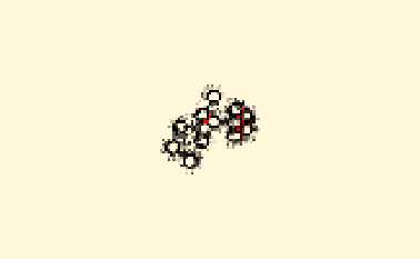 c1ccc(-c2ccc(N(c3ccccc3-c3cccc(N(c4ccccc4-c4ccccc4)c4ccccc4-c4ccccc4)c3)c3cccc4c3sc3c(-c5ccccc5)cccc34)cc2)cc1